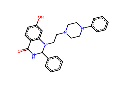 O=C1NC(c2ccccc2)N(CCN2CCN(c3ccccc3)CC2)c2cc(O)ccc21